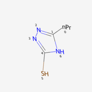 CCCc1nnc(S)[nH]1